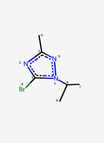 Cc1nc(Br)n(C(C)C)n1